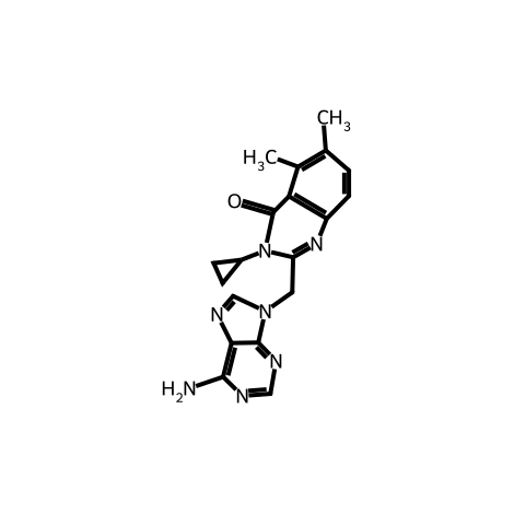 Cc1ccc2nc(Cn3cnc4c(N)ncnc43)n(C3CC3)c(=O)c2c1C